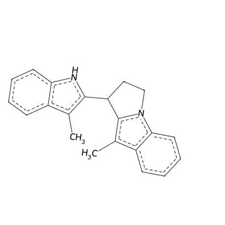 Cc1c(C2CCn3c2c(C)c2ccccc23)[nH]c2ccccc12